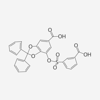 O=C(O)c1cccc(S(=O)(=O)Oc2cc(C(=O)O)cc3c2OC(c2ccccc2)(c2ccccc2)O3)c1